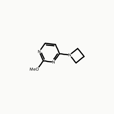 COc1n[c]cc(N2CCC2)n1